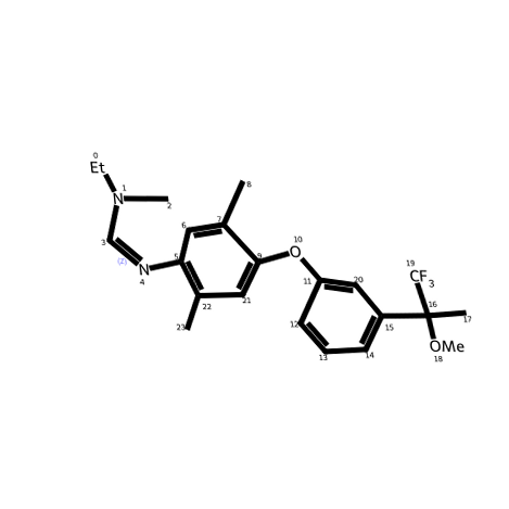 CCN(C)/C=N\c1cc(C)c(Oc2cccc(C(C)(OC)C(F)(F)F)c2)cc1C